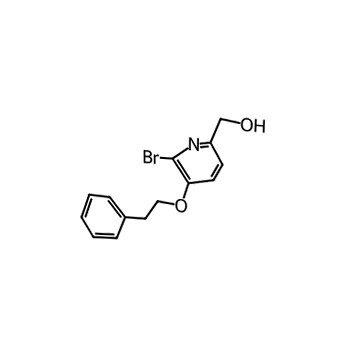 OCc1ccc(OCCc2ccccc2)c(Br)n1